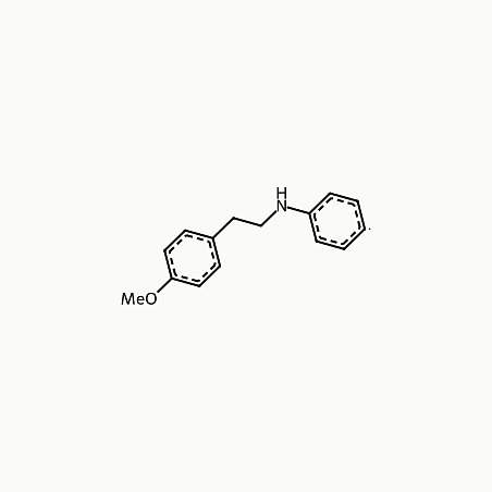 COc1ccc(CCNc2cc[c]cc2)cc1